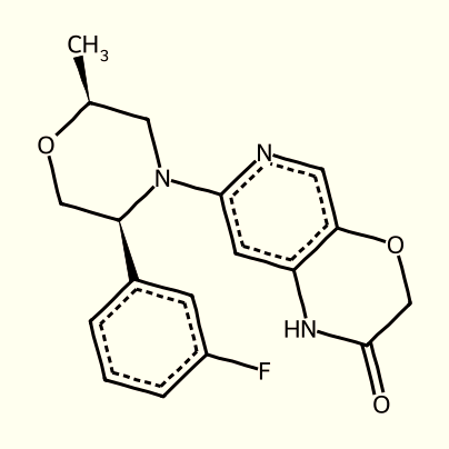 C[C@H]1CN(c2cc3c(cn2)OCC(=O)N3)[C@@H](c2cccc(F)c2)CO1